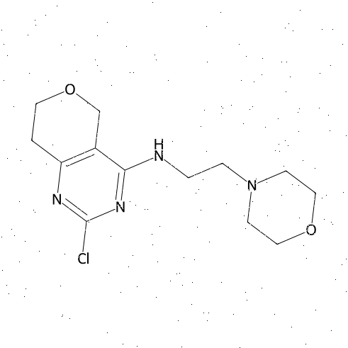 Clc1nc2c(c(NCCN3CCOCC3)n1)COCC2